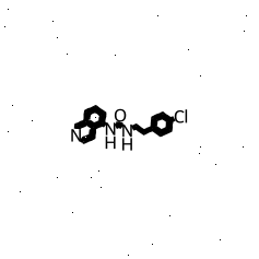 O=C(NCCc1ccc(Cl)cc1)Nc1cccc2cnccc12